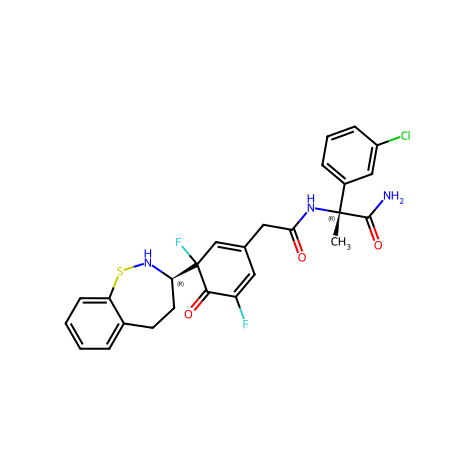 C[C@](NC(=O)CC1=CC(F)([C@H]2CCc3ccccc3SN2)C(=O)C(F)=C1)(C(N)=O)c1cccc(Cl)c1